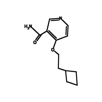 NC(=O)c1cnccc1OCCC1CCC1